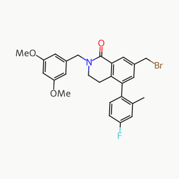 COc1cc(CN2CCc3c(cc(CBr)cc3-c3ccc(F)cc3C)C2=O)cc(OC)c1